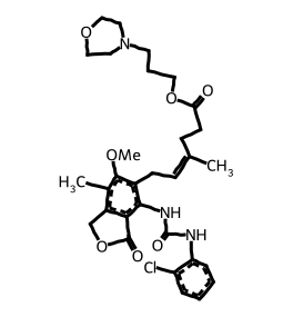 COc1c(C)c2c(c(NC(=O)Nc3ccccc3Cl)c1CC=C(C)CCC(=O)OCCCN1CCOCC1)C(=O)OC2